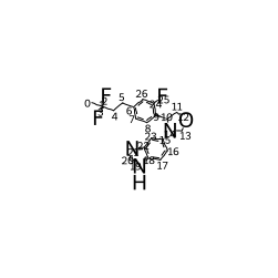 CC(F)(F)CCc1ccc([C@H]2COCN2c2ccc3[nH]cnc3c2)c(F)c1